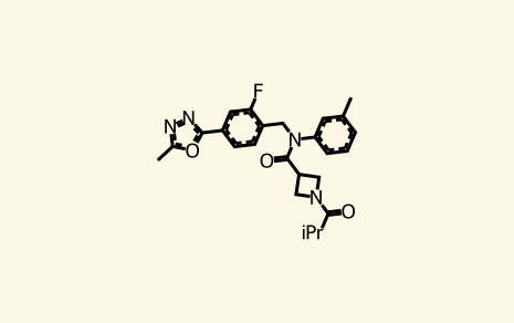 Cc1cccc(N(Cc2ccc(-c3nnc(C)o3)cc2F)C(=O)C2CN(C(=O)C(C)C)C2)c1